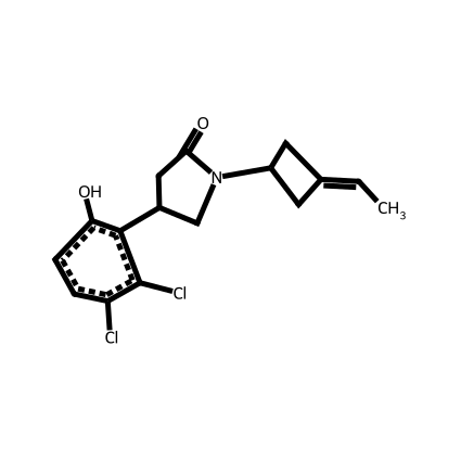 CC=C1CC(N2CC(c3c(O)ccc(Cl)c3Cl)CC2=O)C1